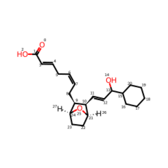 O=C(O)/C=C/C/C=C\C[C@H]1[C@@H](/C=C/C(O)C2CCCCC2)[C@H]2CC[C@@H]1O2